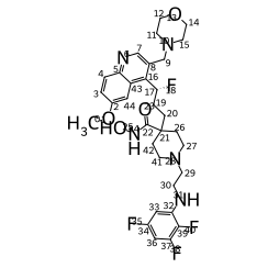 COc1ccc2ncc(CN3CCOCC3)c([C@H](F)CCC3(C(=O)NO)CCN(CCNc4cc(F)cc(F)c4F)CC3)c2c1